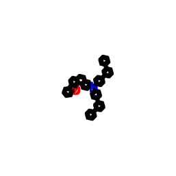 c1ccc(-c2cccc(-c3ccc(N(c4ccc(-c5cccc(-c6ccccc6)c5)cc4)c4ccc5c(ccc6ccc7c8ccccc8oc7c65)c4)cc3)c2)cc1